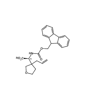 C=CCC1([C@H](NC(=O)OCC2c3ccccc3-c3ccccc32)C(=O)O)CCOC1